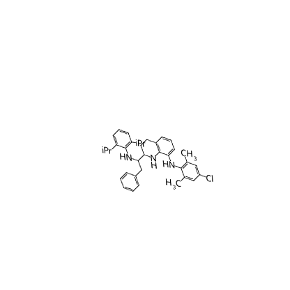 Cc1cc(Cl)cc(C)c1Nc1cccc2c1NC(C(Cc1ccccc1)Nc1c(C(C)C)cccc1C(C)C)CC2